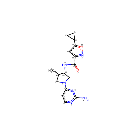 C[C@@H]1CN(c2ccnc(N)n2)C[C@H]1NC(=O)c1cc(C2CC2)on1